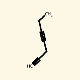 C#C[CH]C#CCC